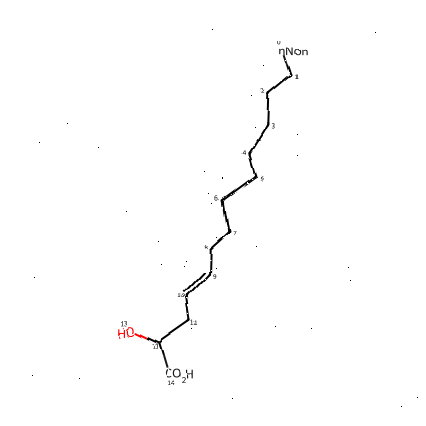 CCCCCCCCCCCCCCCCCC=CCC(O)C(=O)O